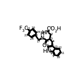 O=C(O)NCC(Cc1c[nH]c2ccccc12)C(=O)NCc1ccc(C(F)(F)F)cc1